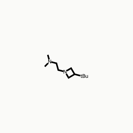 CN(C)CCN1CC(C(C)(C)C)C1